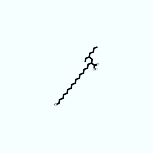 CCCCC(CC)CC(CCCCCCCCCCCCCCCC[O])C(=O)O